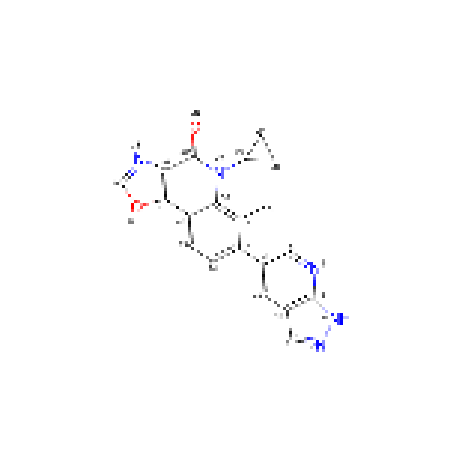 Cc1c(-c2cnc3[nH]ncc3c2)ccc2c3ocnc3c(=O)n(C3CC3)c12